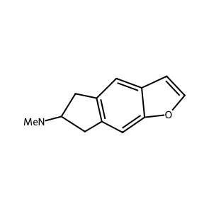 CNC1Cc2cc3ccoc3cc2C1